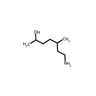 CC(O)CCC(C)CCN